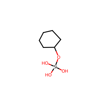 O[Si](O)(O)OC1CCCCC1